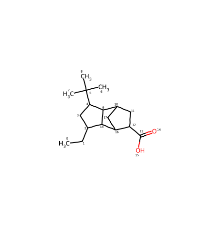 CCC1CC(C(C)(C)C)C2C3CC(C(=O)O)C(C3)C12